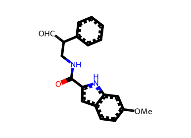 COc1ccc2cc(C(=O)NCC(C=O)c3ccccc3)[nH]c2c1